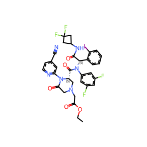 CCOC(=O)CN1CC(=O)N(c2cc(C#N)ccn2)[C@H](C(=O)N(c2cc(F)cc(F)c2)[C@H](C(=O)NC2CC(F)(F)C2)c2ccccc2I)C1